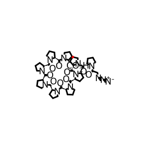 [N-]=[N+]=NCC(=O)N1CCC[C@H]1C(=O)N1CCC[C@H]1C(=O)N1CCC[C@H]1C(=O)N1CCC[C@H]1C(=O)N1CCC[C@H]1C(=O)N1CCC[C@H]1C(=O)N1CCC[C@H]1C(=O)N1CCC[C@H]1C(=O)N1CCC[C@H]1C(=O)O